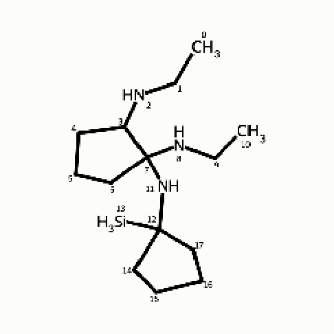 CCNC1CCCC1(NCC)NC1([SiH3])CCCC1